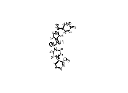 COc1ccccc1N1CCN(C(=O)N[C@@H]2CCN(C(=O)c3ccc(C)nc3)C2)CC1